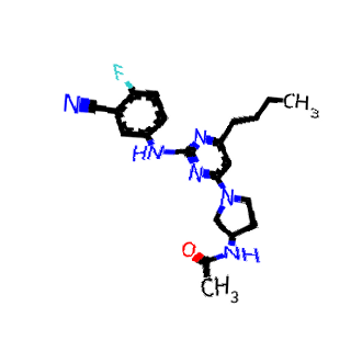 CCCCc1cc(N2CCC(NC(C)=O)C2)nc(Nc2ccc(F)c(C#N)c2)n1